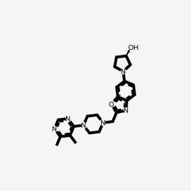 Cc1ncnc(N2CCN(Cc3nc4ccc(N5CC[C@@H](O)C5)cc4o3)CC2)c1C